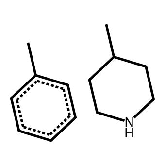 CC1CCNCC1.Cc1ccccc1